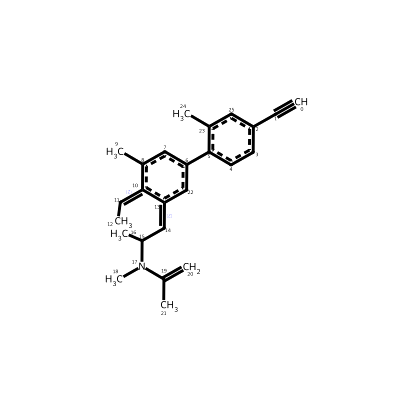 C#Cc1ccc(-c2cc(C)c(=C/C)/c(=C\C(C)N(C)C(=C)C)c2)c(C)c1